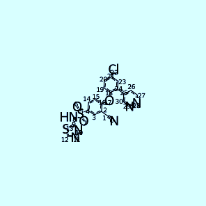 N#Cc1cc(S(=O)(=O)Nc2nncs2)ccc1Oc1ccc(Cl)cc1-c1ccnnc1